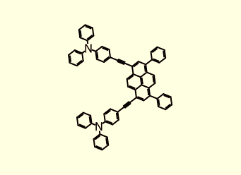 C(#Cc1cc(-c2ccccc2)c2ccc3c(-c4ccccc4)cc(C#Cc4ccc(N(c5ccccc5)c5ccccc5)cc4)c4ccc1c2c43)c1ccc(N(c2ccccc2)c2ccccc2)cc1